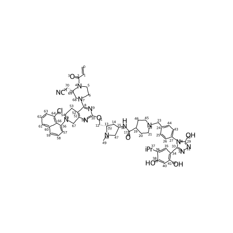 C=CC(=O)N1CCN(c2nc(OC[C@@H]3CC(NC(=O)C4CCN(Cc5ccc(-n6c(O)nnc6-c6cc(C(C)C)c(O)cc6O)cc5)CC4)CN3C)nc3c2CCN(c2cccc4cccc(Cl)c24)C3)C[C@@H]1CC#N